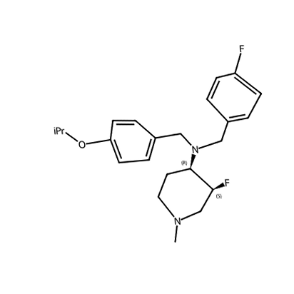 CC(C)Oc1ccc(CN(Cc2ccc(F)cc2)[C@@H]2CCN(C)C[C@@H]2F)cc1